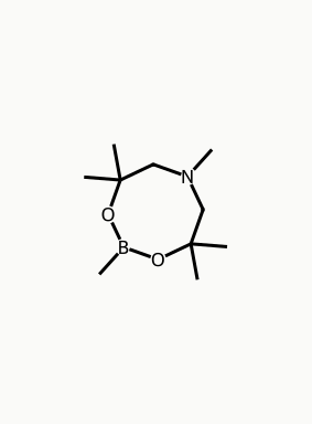 CB1OC(C)(C)CN(C)CC(C)(C)O1